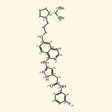 CC(C)(C)[C]([C@H]1CCCN1CCCOc1ccc2c(Nc3cc(CC(=O)Nc4cccc(F)c4)[nH]n3)ncnc2c1)C(C)(C)C